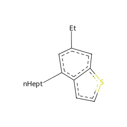 CCCCCCCc1cc(CC)cc2sccc12